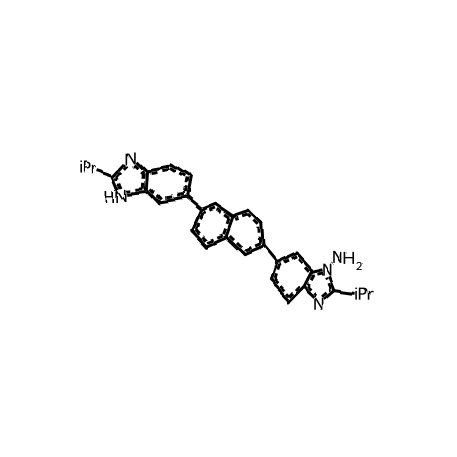 CC(C)c1nc2ccc(-c3ccc4cc(-c5ccc6nc(C(C)C)n(N)c6c5)ccc4c3)cc2[nH]1